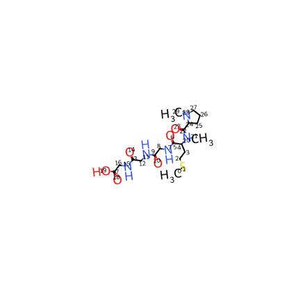 CSCCC(C(=O)NCC(=O)NCC(=O)NCC(=O)O)N(C)C(=O)C1CCCN1C